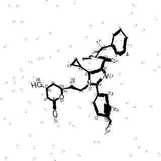 C[C@H](c1ccccc1)N(C)C(=O)c1nc(-c2ccc(F)cc2)n(CC[C@@H]2C[C@@H](O)CC(=O)O2)c1C1CC1